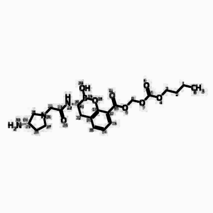 CCCCOC(=O)OCOC(=O)c1cccc2c1OB(O)[C@@H](NC(=O)CN1CC[C@H](N)C1)C2